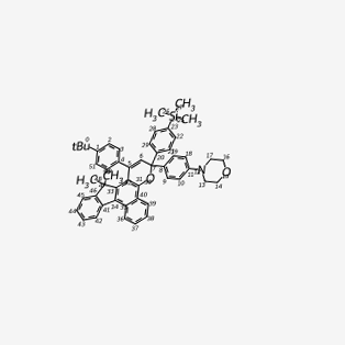 CC(C)(C)c1ccc(C2=CC(c3ccc(N4CCOCC4)cc3)(c3ccc([Si](C)(C)C)cc3)Oc3c2c2c(c4ccccc34)-c3ccccc3C2(C)C)cc1